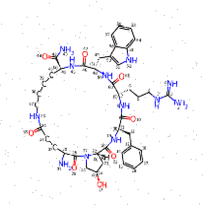 N=C(N)NCCC[C@@H]1NC(=O)[C@@H](Cc2ccccc2)NC(=O)[C@@H]2C[C@@H](O)CN2C(=O)C(N)CCC(=O)NCCCC[C@@H](C(N)=O)NC(=O)[C@H](Cc2c[nH]c3ccccc23)NC1=O